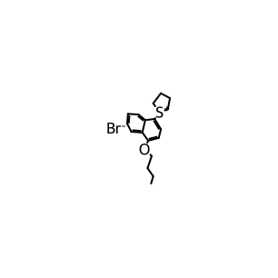 CCCCOc1ccc([S+]2CCCC2)c2ccccc12.[Br-]